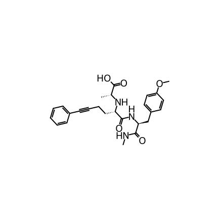 CNC(=O)[C@H](Cc1ccc(OC)cc1)NC(=O)[C@H](CCC#Cc1ccccc1)N[C@H](C)C(=O)O